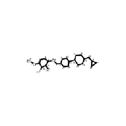 CCOC1CCC(OCC2CCC(C3CCC(CC4CC4)CC3)CC2)C(F)C1F